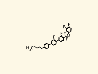 CCCCCc1ccc(-c2ccc(-c3ccc(C(F)(F)Oc4ccc(F)c(F)c4)c(F)c3)c(F)c2)cc1